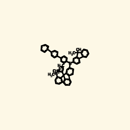 Cc1cc(-c2ccc(-c3ccccc3)cc2)ccc1N(c1ccc2c(c1)C(C)(C)c1ccccc1-2)c1ccc2c(c1)C1(c3ccccc3-2)c2ccccc2S(C)(C)c2ccccc21